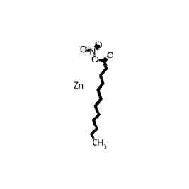 CCCCCCCCCCCC(=O)O[N+](=O)[O-].[Zn]